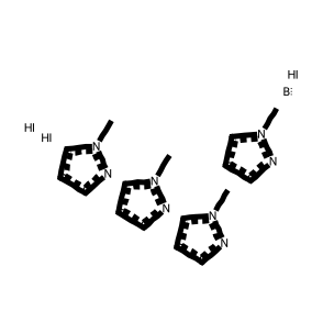 Cn1cccn1.Cn1cccn1.Cn1cccn1.Cn1cccn1.I.I.I.[B]